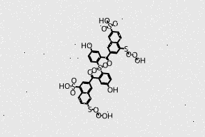 O=C(c1cc(SOOO)c2ccc(S(=O)(=O)O)cc2c1)c1cc(O)ccc1S(=O)(=O)c1ccc(O)cc1C(=O)c1cc(S(=O)(=O)O)c2ccc(SOOO)cc2c1